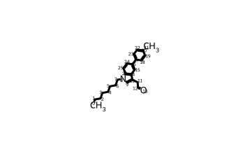 CCCCCCCCn1cc(CC=O)c2cc(-c3ccc(C)cc3)ccc21